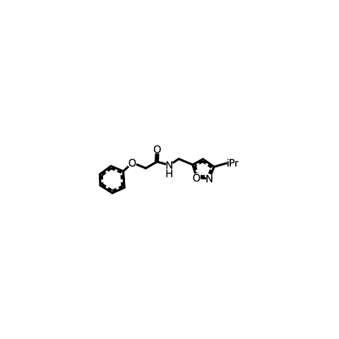 CC(C)c1cc(CNC(=O)COc2ccccc2)on1